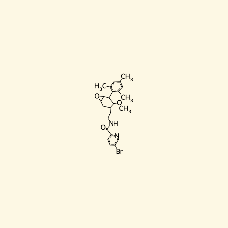 COC1C(CCNC(=O)c2ccc(Br)cn2)CC2OC2C1c1c(C)cc(C)cc1C